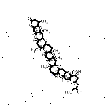 CCC(C)C[C@@H]1C[C@H](O)[C@]2(C)OC3CC4OC5C[C@]6(C)O[C@]7(C)CCC8OC9C[C@]%10(C)OC%11C(C)CC(=O)O[C@H]%11C[C@H]%10O[C@H]9C[C@@H](C)[C@H]8O[C@H]7C[C@H]6O[C@@]5(C)C/C=C\[C@H]4O[C@H]3C[C@H]2O1